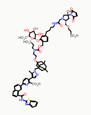 Cc1c(-c2ccc(-c3ccc4cccc(C(=O)Nc5nc6ccccc6s5)c4c3)nc2C(=O)O)cnn1CC12CC3(C)CC(C)(C1)CC(OCCN(CCS(=O)(=O)O)C(=O)OCc1ccc(CCCCNC(=O)CN4C[C@](C=O)(N5C(=O)C=CC5=O)C[C@H]4COCCS(=O)(=O)O)cc1O[C@@H]1O[C@H](C(=O)O)[C@@H](O)[C@H](O)[C@H]1O)(C3)C2